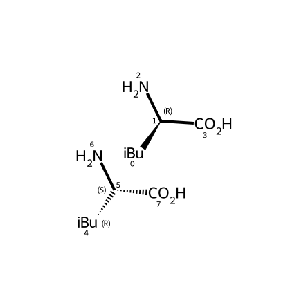 CCC(C)[C@@H](N)C(=O)O.CC[C@@H](C)[C@H](N)C(=O)O